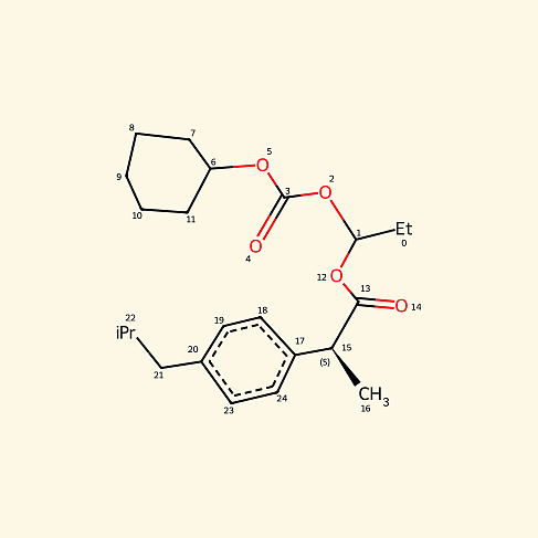 CCC(OC(=O)OC1CCCCC1)OC(=O)[C@@H](C)c1ccc(CC(C)C)cc1